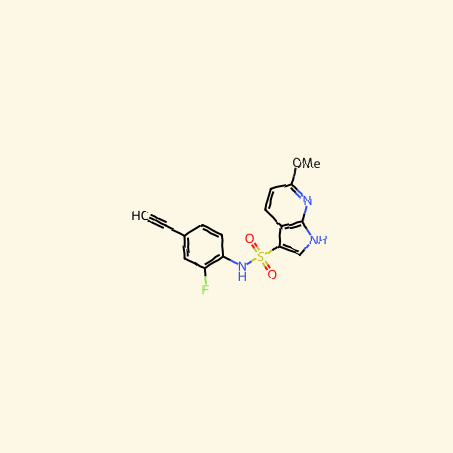 C#Cc1ccc(NS(=O)(=O)c2c[nH]c3nc(OC)ccc23)c(F)c1